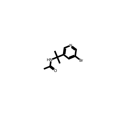 CC(=O)NC(C)(C)c1cncc(Br)c1